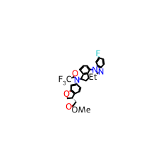 CCc1nc2ccc(F)cc2n1-c1cccc2c1CCC2N(C(=O)C(F)(F)F)c1ccc2c(c1)OC[C@H]2CC(=O)OC